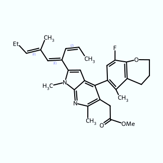 C\C=C/C(=C\C(C)=C\CC)c1cc2c(-c3cc(F)c4c(c3C)CCCO4)c(CC(=O)OC)c(C)nc2n1C